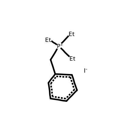 CC[P+](CC)(CC)Cc1ccccc1.[I-]